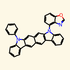 c1ccc(-n2c3ccccc3c3cc4cc5c6ccccc6n(-c6cccc7ocnc67)c5cc4cc32)cc1